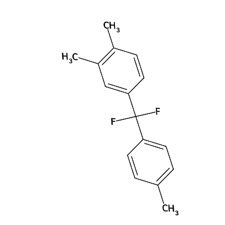 Cc1ccc(C(F)(F)c2ccc(C)c(C)c2)cc1